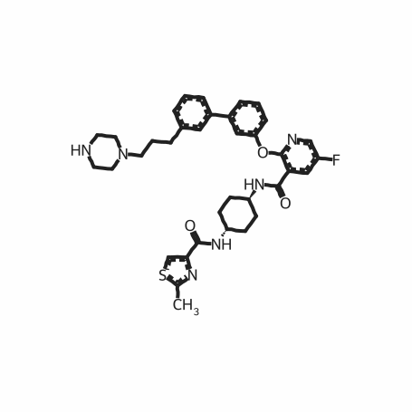 Cc1nc(C(=O)N[C@H]2CC[C@H](NC(=O)c3cc(F)cnc3Oc3cccc(-c4cccc(CCCN5CCNCC5)c4)c3)CC2)cs1